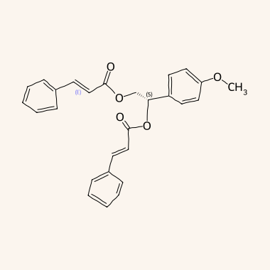 COc1ccc([C@@H](COC(=O)/C=C/c2ccccc2)OC(=O)C=Cc2ccccc2)cc1